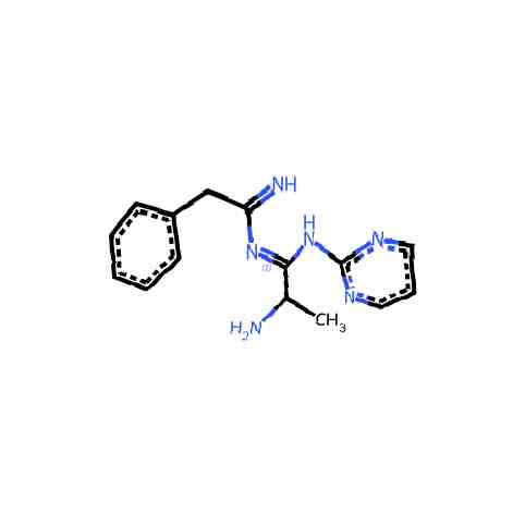 CC(N)/C(=N/C(=N)Cc1ccccc1)Nc1ncccn1